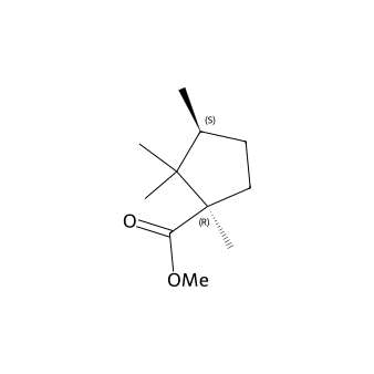 COC(=O)[C@]1(C)CC[C@H](C)C1(C)C